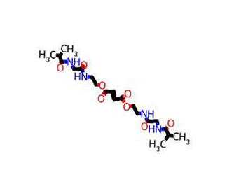 CC(C)C(=O)NCC(=O)NCCOC(=O)/C=C/C(=O)OCCNC(=O)CNC(=O)C(C)C